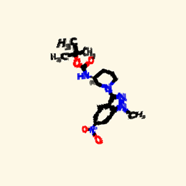 Cn1nc(N2CCC[C@@H](NC(=O)OC(C)(C)C)C2)c2ccc([N+](=O)[O-])cc21